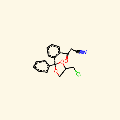 N#CCC(=O)c1ccccc1C1(c2ccccc2)OCC(CCl)O1